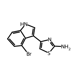 Nc1nc(-c2c[nH]c3cccc(Br)c23)cs1